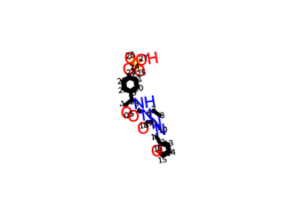 O=[C]C(NC(=O)N1CCN(N=Cc2ccco2)C1=O)c1ccc(OS(=O)(=O)O)cc1